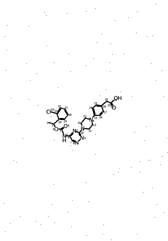 CC(OC(=O)Nc1cnnc(N2CCN(c3ccc(CC(=O)O)cc3)CC2)n1)c1ccccc1Cl